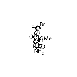 COC[C@@H](C)N(Cc1ncc(Br)cc1F)C(=O)c1cc2nc(N)c3c(c2[nH]1)COC3